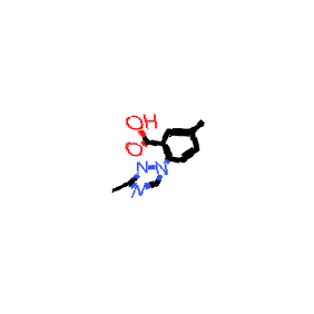 Cc1ccc(-n2cnc(C)n2)c(C(=O)O)c1